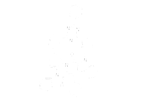 O=c1c2c(-c3ccccc3)c3c4ccccc4n(-c4cccc(-c5nc(-c6ccccc6)nc(-c6ccccc6)n5)c4)c3c(=O)n2c2ccccc2n1-c1ccccc1